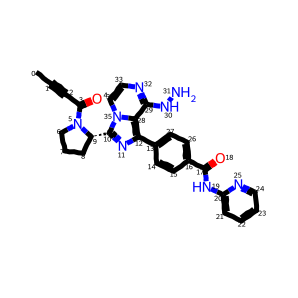 CC#CC(=O)N1CCC[C@H]1c1nc(-c2ccc(C(=O)Nc3ccccn3)cc2)c2c(NN)nccn12